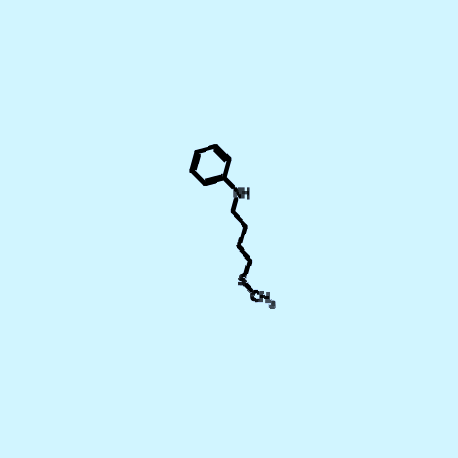 CSCCCCNc1ccccc1